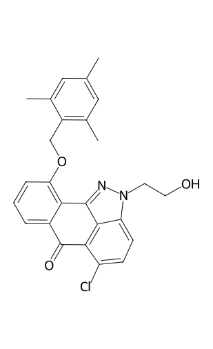 Cc1cc(C)c(COc2cccc3c2-c2nn(CCO)c4ccc(Cl)c(c24)C3=O)c(C)c1